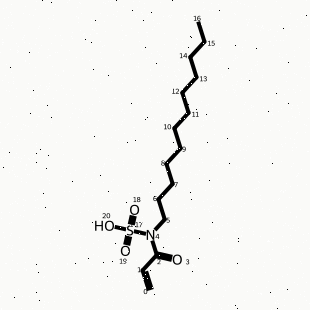 C=CC(=O)N(CCCCCCCCCCCC)S(=O)(=O)O